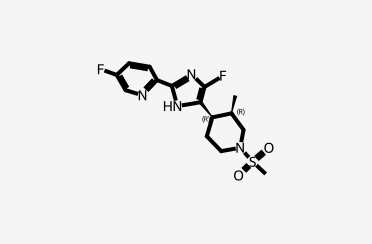 C[C@H]1CN(S(C)(=O)=O)CC[C@H]1c1[nH]c(-c2ccc(F)cn2)nc1F